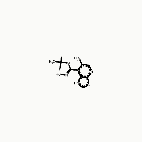 CC(F)(F)NC(=NO)c1c(N)cnc2nc[nH]c12